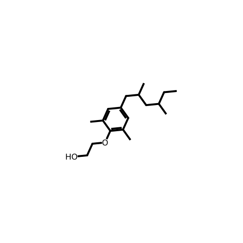 CCC(C)CC(C)Cc1cc(C)c(OCCO)c(C)c1